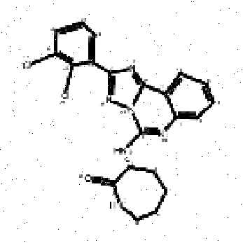 O=C1NCCCC[C@H]1Nc1nc2ccccc2c2nc(-c3cccc(Cl)c3Cl)nn12